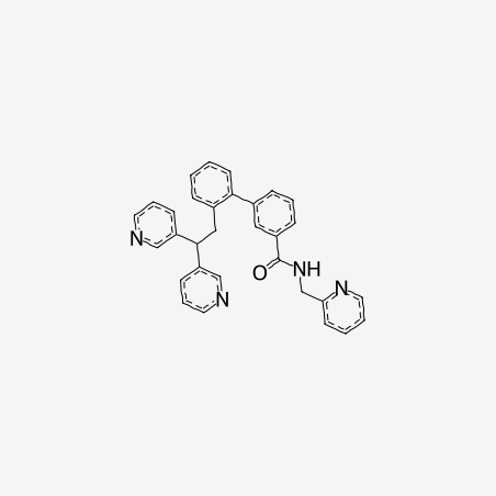 O=C(NCc1ccccn1)c1cccc(-c2ccccc2CC(c2cccnc2)c2cccnc2)c1